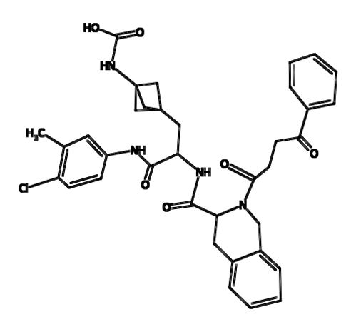 Cc1cc(NC(=O)C(CC23CC(NC(=O)O)(C2)C3)NC(=O)C2Cc3ccccc3CN2C(=O)CCC(=O)c2ccccc2)ccc1Cl